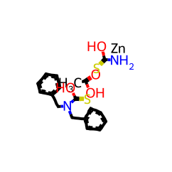 CC(=O)O.NC(O)=S.OC(=S)N(Cc1ccccc1)Cc1ccccc1.[Zn]